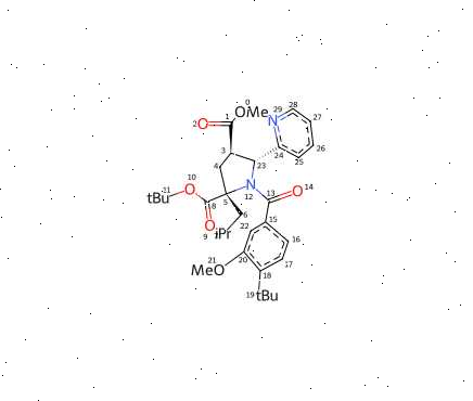 COC(=O)[C@@H]1C[C@@](CC(C)C)(C(=O)OC(C)(C)C)N(C(=O)c2ccc(C(C)(C)C)c(OC)c2)[C@H]1c1ccccn1